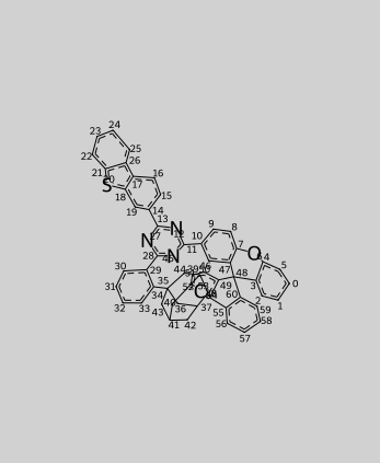 c1ccc2c(c1)Oc1ccc(-c3nc(-c4ccc5c(c4)sc4ccccc45)nc(-c4ccccc4C45CC6CC(CC(C6)C4)C5)n3)cc1C21c2ccccc2-c2ccccc21